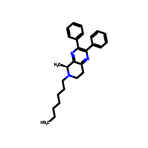 C[C@H]1c2nc(-c3ccccc3)c(-c3ccccc3)nc2CCN1CCCCCCC(=O)O